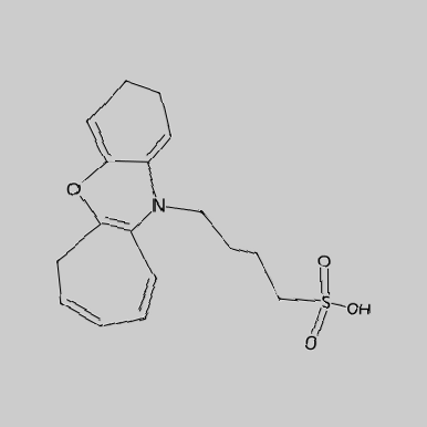 O=S(=O)(O)CCCCN1C2=CCCC=C2OC2=C1C=CC=CC2